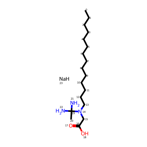 CCCCCCCCCCCCCCN(CC(=O)O)C(C)(N)N.[NaH]